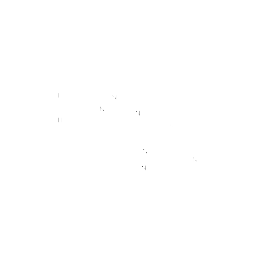 Cc1c(-c2cc(Sc3ccccc3C#N)c3c(C#N)cnn3c2)cnn1C(CO)CO